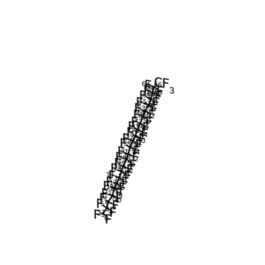 F[C](F)C(F)(F)C(F)(F)C(F)(F)C(F)(F)C(F)(F)C(F)(F)C(F)(F)C(F)(F)C(F)(F)C(F)(F)C(F)(F)C(F)(F)C(F)(F)C(F)(F)C(F)(F)C(F)(F)C(F)(F)C(F)(F)C(F)(F)C(F)(F)C(F)(F)C(F)(F)F